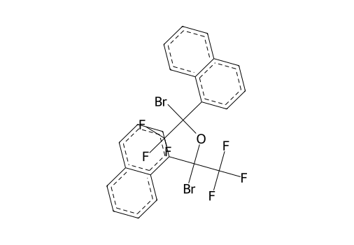 FC(F)(F)C(Br)(OC(Br)(c1cccc2ccccc12)C(F)(F)F)c1cccc2ccccc12